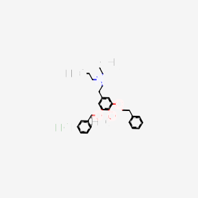 CCCN(CCC)CCc1cc(OCCc2ccccc2)c(OC)c(OCc2ccccc2)c1.Cl